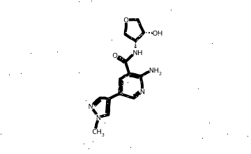 Cn1cc(-c2cnc(N)c(C(=O)N[C@@H]3COC[C@@H]3O)c2)cn1